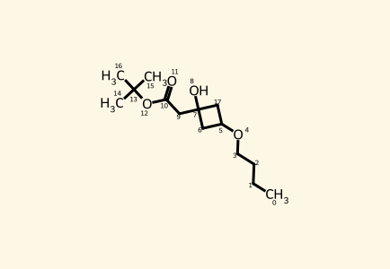 CCCCOC1CC(O)(CC(=O)OC(C)(C)C)C1